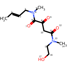 C/C=C/CN(C)C(=O)C(=O)CC(=O)N(C)CCO